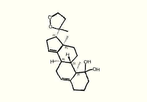 CC1([C@H]2CC=C3[C@@H]4CC=C5CCCC(O)(O)[C@]5(C)[C@H]4CC[C@@]32C)CCOO1